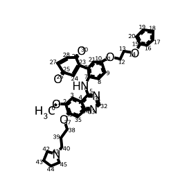 COc1cc2c(Nc3ccc(OCCOc4ccccc4)cc3C3=CC(=O)C=CC3=O)ncnc2cc1OCCCN1CCCC1